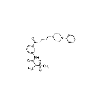 CC(C(=O)Nc1cccc(C(=O)CCCCN2CCN(c3ccccc3)CC2)c1)S(C)(=O)=O